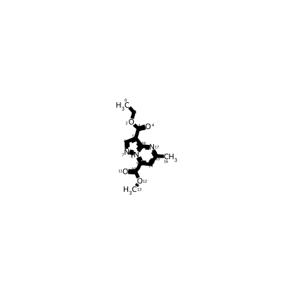 CCOC(=O)c1cnn2c(C(=O)OC)cc(C)nc12